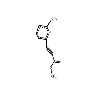 COC(=O)C#Cc1cccc(C)n1